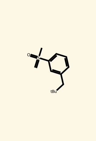 C=S(C)(=O)c1cccc(CC(C)(C)C)c1